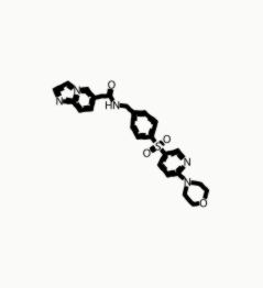 O=C(NCc1ccc(S(=O)(=O)c2ccc(N3CCOCC3)nc2)cc1)c1ccc2nccn2c1